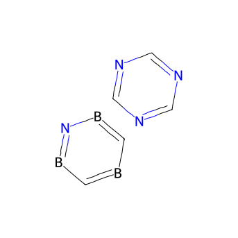 b1cbnbc1.c1ncncn1